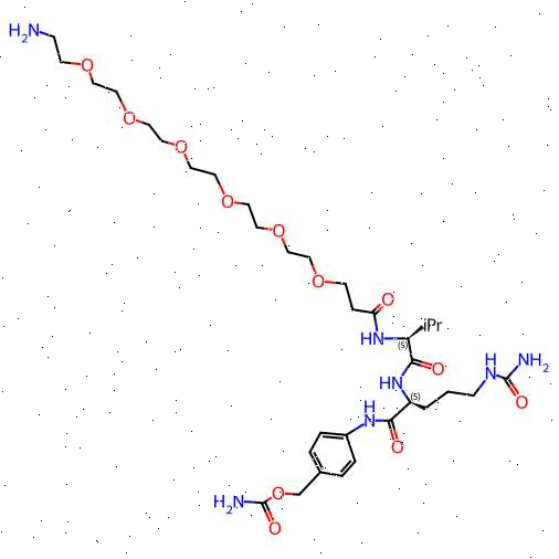 CC(C)[C@H](NC(=O)CCOCCOCCOCCOCCOCCOCCN)C(=O)N[C@@H](CCCNC(N)=O)C(=O)Nc1ccc(COC(N)=O)cc1